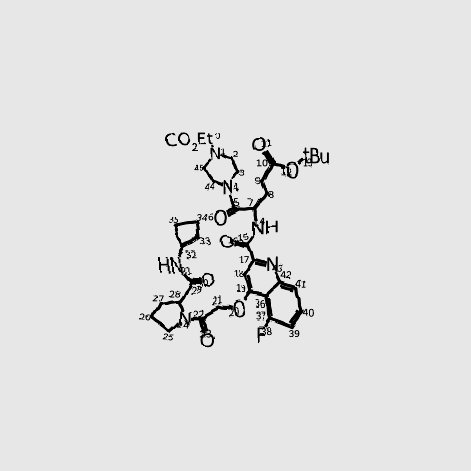 CCOC(=O)N1CCN(C(=O)C(CCC(=O)OC(C)(C)C)NC(=O)c2cc(OCC(=O)N3CCCC3C(=O)NC3CCC3)c3c(F)cccc3n2)CC1